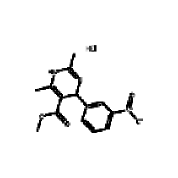 COC(=O)C1=C(C)NC(C)=NC1c1cccc([N+](=O)[O-])c1.Cl